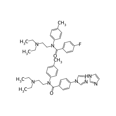 CCN(CC)CCN(C(=O)c1ccc(-n2ccnc2)cc1)c1ccc(C)cc1.CCN(CC)CCN(C(=O)c1ccc(F)cc1)c1ccc(C)cc1.c1c[nH]cn1